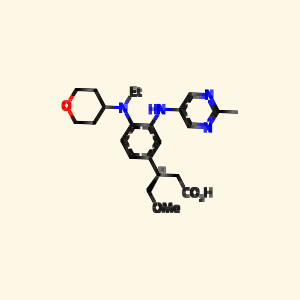 CCN(c1ccc([C@H](COC)CC(=O)O)cc1Nc1cnc(C)nc1)C1CCOCC1